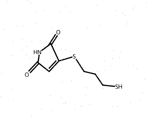 O=C1C=C(SCCCS)C(=O)N1